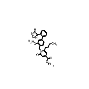 CCCCc1cc(C(=O)OC)cc(=O)n1Cc1ccc(-c2ccccc2-c2nnn[nH]2)cc1OC